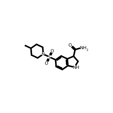 CC1CCN(S(=O)(=O)c2ccc3c(c2)C(C(N)=O)CN3)CC1